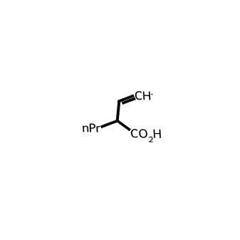 [CH]=CC(CCC)C(=O)O